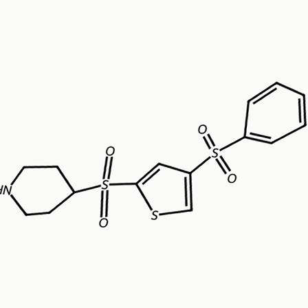 O=S(=O)(c1ccccc1)c1csc(S(=O)(=O)C2CCNCC2)c1